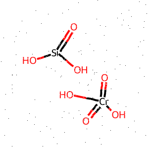 O=[Si](O)O.[O]=[Cr](=[O])([OH])[OH]